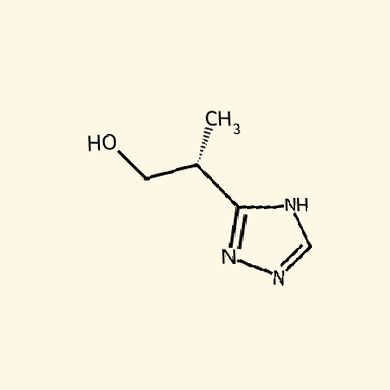 C[C@@H](CO)c1nnc[nH]1